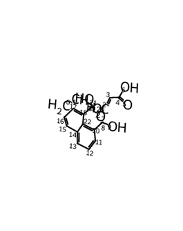 C=C.C=CC(=O)O.O=C(O)c1cccc2cccc(C(=O)O)c12